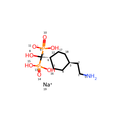 NCC[C@H]1CC[C@H](C(O)(P(=O)([O-])O)P(=O)(O)O)CC1.[Na+]